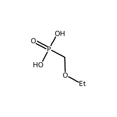 [CH2]COCP(=O)(O)O